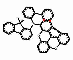 CC1(C)c2ccccc2-c2cccc(N(c3ccccc3-c3ccccc3)c3ccc4c5cccc6c5n5c4c3Oc3cccc(c3-5)O6)c21